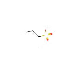 CCCCCS(=O)(=O)O.[KH]